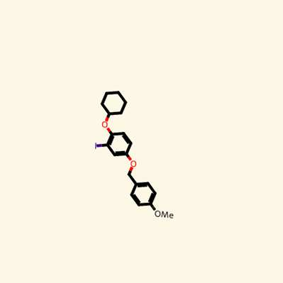 COc1ccc(COc2ccc(OC3CCCCC3)c(I)c2)cc1